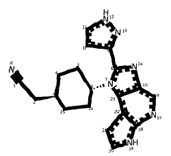 N#CC[C@H]1CC[C@H](n2c(-c3cc[nH]n3)nc3cnc4[nH]ccc4c32)CC1